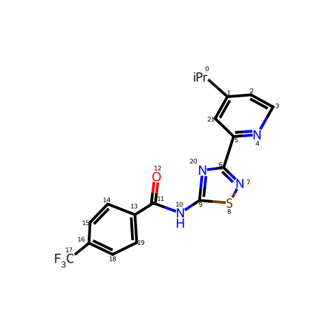 CC(C)c1ccnc(-c2nsc(NC(=O)c3ccc(C(F)(F)F)cc3)n2)c1